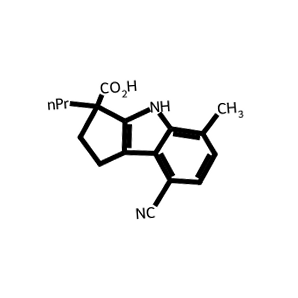 CCCC1(C(=O)O)CCc2c1[nH]c1c(C)ccc(C#N)c21